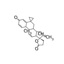 CC1CC2C3CC4(CC4)C4=CC(=O)C=C[C@]4(C)C3C=C[C@]2(C)[C@]12CCC(=O)O2